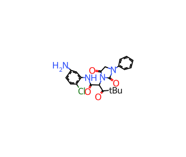 CC(C)(C)C(=O)C(C(=O)Nc1cc(N)ccc1Cl)N1C(=O)CN(c2ccccc2)C1=O